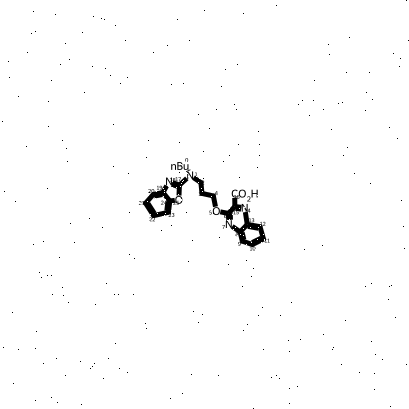 CCCCN(CCCOc1nc2ccccc2nc1C(=O)O)c1nc2ccccc2o1